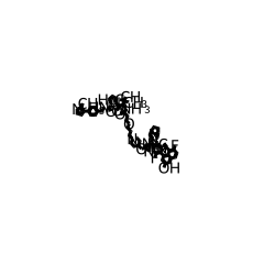 C#Cc1c(F)ccc2cc(O)cc(-c3ncc4c(N5CC6CCC(C5)N6)nc(OC5CCN(CCCOCCC(=O)NC(C(=O)N6CCC[C@H]6C(=O)NCc6ccc(C7=C(C)N=CC7)cc6)C(C)(C)C)CC5)nc4c3F)c12